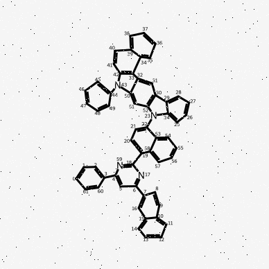 c1ccc(-c2cc(-c3ccc4ccccc4c3)nc(-c3ccc(-n4c5ccccc5c5cc6c7c8ccccc8ccc7n(-c7ccccc7)c6cc54)c4ccccc34)n2)cc1